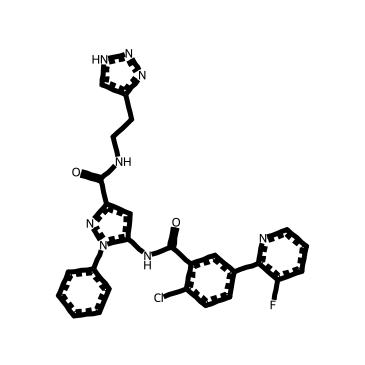 O=C(NCCc1c[nH]nn1)c1cc(NC(=O)c2cc(-c3ncccc3F)ccc2Cl)n(-c2ccccc2)n1